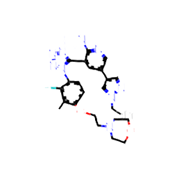 Cc1c(OCCN2CCOCC2)ccc(-n2nnnc2-c2cc(-c3cnn(CC(C)C)c3)cnc2N)c1F